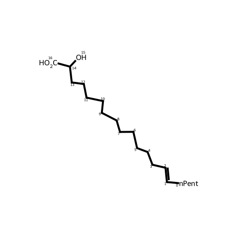 CCCCC/C=C/CCCCCCCCCCCC(O)C(=O)O